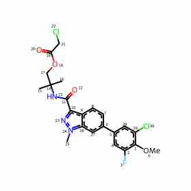 COc1c(F)cc(-c2ccc3c(C(=O)NC(C)(C)COC(=O)CCl)nn(C)c3c2)cc1Cl